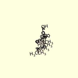 CC(C)c1nc(CN(C)C(=O)N[C@H](C(=O)N[C@@H](Cc2ccccc2)[C@H](O)CN(CC2CCCC2)S(=O)(=O)c2ccc(C=NO)cc2)C(C)C)cs1